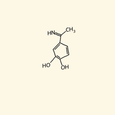 CC(=N)c1ccc(O)c(O)c1